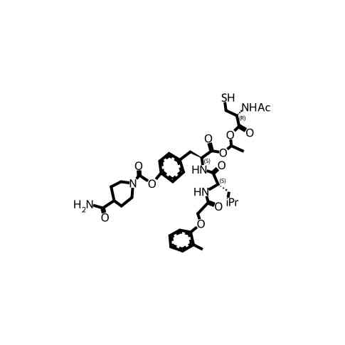 CC(=O)N[C@@H](CS)C(=O)OC(C)OC(=O)[C@H](Cc1ccc(OC(=O)N2CCC(C(N)=O)CC2)cc1)NC(=O)[C@H](CC(C)C)NC(=O)COc1ccccc1C